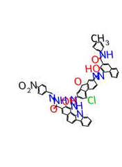 Cc1ccc(NC(=O)c2cc3ccccc3c(N=Nc3ccc4c(c3)C(=O)c3cc(N=Nc5c(O)c(C(=O)N/N=C/c6ccc([N+](=O)[O-])cc6)cc6ccc7c8ccccc8[nH]c7c56)cc(Cl)c3-4)c2O)cc1